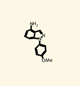 COc1ccc(-n2ncc3c(N)cccc32)cc1